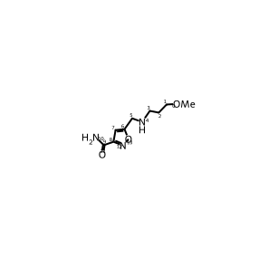 COCCCNCc1cc(C(N)=O)no1